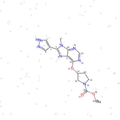 Cn1c(-c2cn[nH]c2)nc2c(OC3CCN(C(=O)OC(C)(C)C)C3)ncnc21